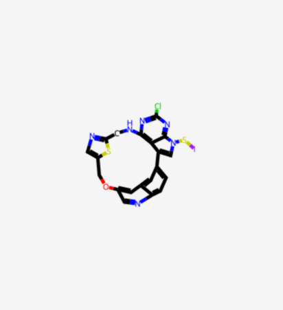 Clc1nc2c3c(cn(SI)c3n1)-c1ccc3ncc(cc3c1)OCc1cnc(s1)CN2